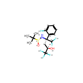 CC(C)(C)[S@+]([O-])N[C@@](C[C@@H](O)C(F)(F)F)(c1ccccc1F)C(F)F